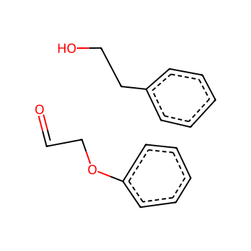 O=CCOc1ccccc1.OCCc1ccccc1